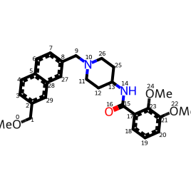 COCc1ccc2ccc(CN3CCC(NC(=O)c4cccc(OC)c4OC)CC3)cc2c1